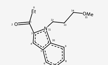 CCC(=O)c1cc2ccccc2n1CCCOC